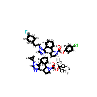 CC(C)(C)OC(=O)N1CCCC1c1ccccc1-c1cncn1C1CC1.O=C(Oc1ccc(Cl)cc1)N1CCCC1c1ccccc1-c1cncn1CCc1ccc(F)cc1